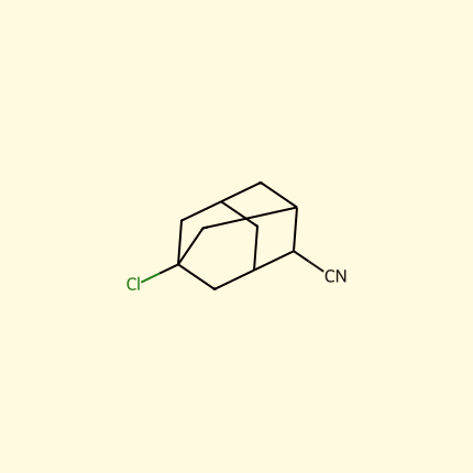 N#CC1C2CC3CC1CC(Cl)(C3)C2